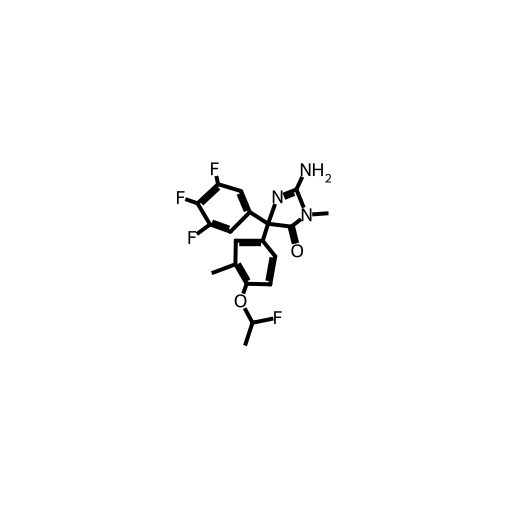 Cc1cc(C2(c3cc(F)c(F)c(F)c3)N=C(N)N(C)C2=O)ccc1OC(C)F